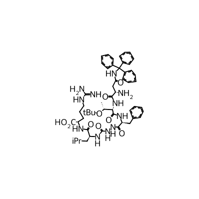 CC(C)C[C@H](NC(=O)NNC(=O)[C@H](Cc1ccccc1)NC(=O)[C@@H](NC(=O)[C@@H](N)CC(=O)NC(c1ccccc1)(c1ccccc1)c1ccccc1)[C@@H](C)OC(C)(C)C)C(=O)N[C@@H](CCCNC(=N)N)C(=O)O